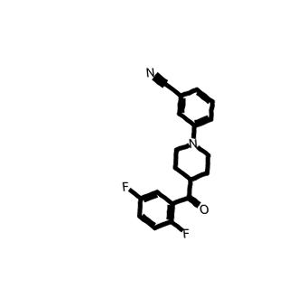 N#Cc1cccc(N2CCC(C(=O)c3cc(F)ccc3F)CC2)c1